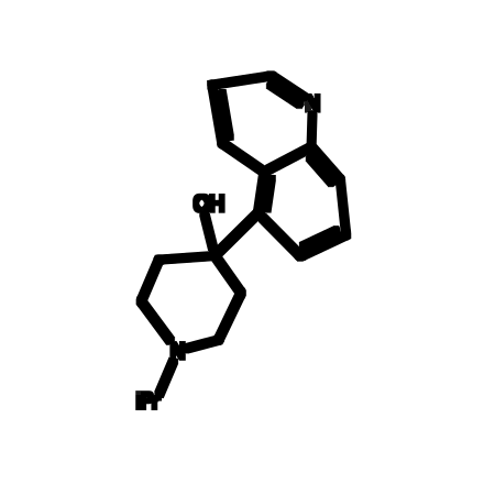 CC(C)N1CCC(O)(c2cccc3ncccc23)CC1